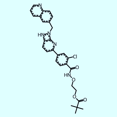 CC(C)(C)C(=O)OCCONC(=O)c1ccc(-c2ccc3[nH]n(Cc4ccc5ncccc5c4)c3n2)cc1Cl